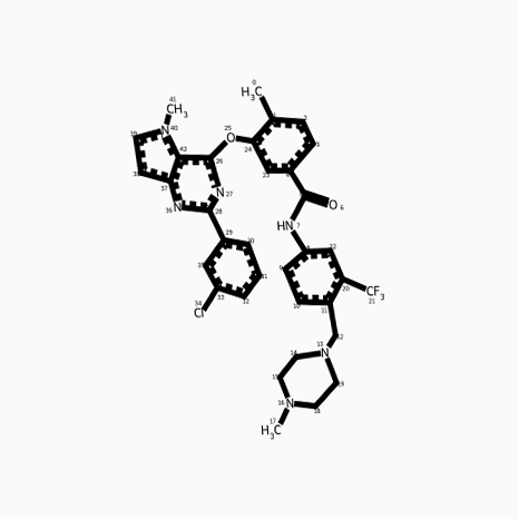 Cc1ccc(C(=O)Nc2ccc(CN3CCN(C)CC3)c(C(F)(F)F)c2)cc1Oc1nc(-c2cccc(Cl)c2)nc2ccn(C)c12